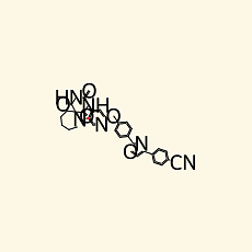 N#Cc1ccc(-c2coc(-c3ccc(Oc4ccc(N5CCCCCC56C(=O)NC(=O)NC6=O)cn4)cc3)n2)cc1